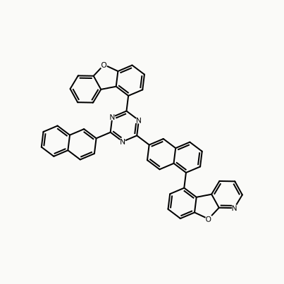 c1ccc2cc(-c3nc(-c4ccc5c(-c6cccc7oc8ncccc8c67)cccc5c4)nc(-c4cccc5oc6ccccc6c45)n3)ccc2c1